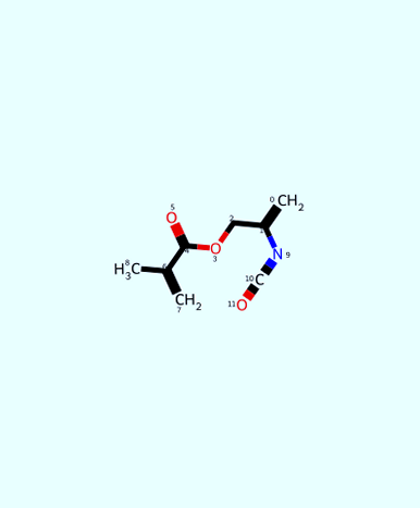 C=C(COC(=O)C(=C)C)N=C=O